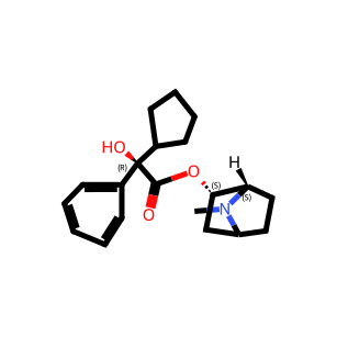 CN1C2CC[C@H]1[C@@H](OC(=O)[C@](O)(c1ccccc1)C1CCCC1)C2